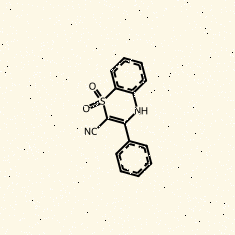 N#CC1=C(c2ccccc2)Nc2ccccc2S1(=O)=O